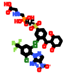 CS(=O)(=O)c1ccc(C(=O)C2C(=O)CCCC2=O)c(Cl)c1.Nc1c([N+](=O)[O-])cnn1-c1c(Cl)cc(C(F)(F)F)cc1Cl.O=C(O)CNCP(=O)(O)O